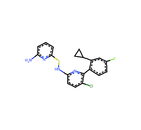 Nc1cccc(SNc2ccc(Cl)c(-c3ccc(F)cc3C3CC3)n2)n1